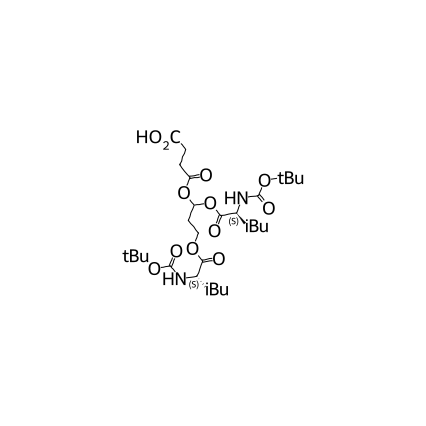 CCC(C)[C@H](NC(=O)OC(C)(C)C)C(=O)OCCC(OC(=O)CCC(=O)O)OC(=O)[C@@H](NC(=O)OC(C)(C)C)C(C)CC